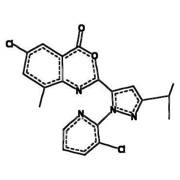 Cc1cc(Cl)cc2c(=O)oc(-c3cc(C(C)C)nn3-c3ncccc3Cl)nc12